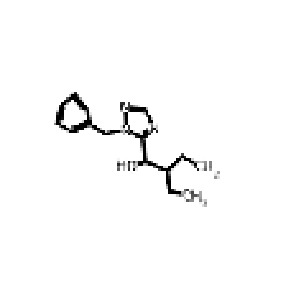 CCC(CC)C(O)c1ncnn1Cc1ccccc1